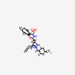 CCSc1ccc(C(CO)NC(=O)c2cc3c(s2)C(C(C)C)N(CC2CCC(C(F)(F)F)CC2)C3)cc1